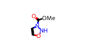 COC(=O)N1C=CON1